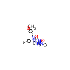 COc1ccc(CCN2C(=O)C3(CCN(C(=O)NC4CCCC4)CC3)N(C)C2c2ccc(C3CC3)cc2)cc1